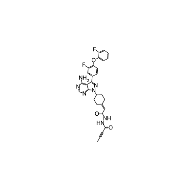 CC#CC(=O)NNC(=O)C=C1CCC(n2nc(-c3ccc(Oc4ccccc4F)c(F)c3)c3c(N)ncnc32)CC1